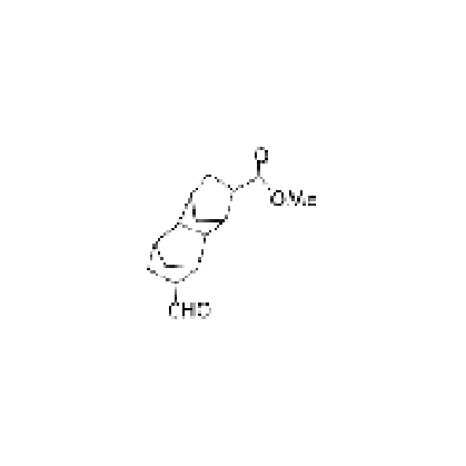 COC(=O)C1CC2CC1C1C3CC(CC3C=O)C21